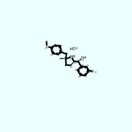 COc1ccc(C[C@@]2(C)CC[C@H]([C@@H](O)c3cccc(F)c3)N2)cc1.Cl